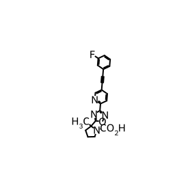 CC1(c2nc(-c3ccc(C#Cc4cccc(F)c4)cn3)no2)CCCN1C(=O)O